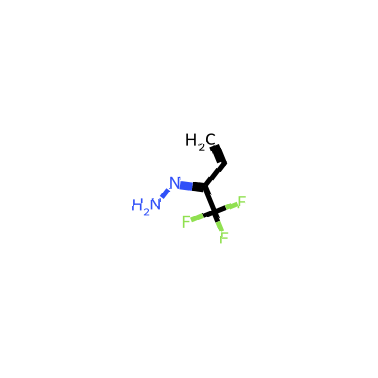 C=CC(=NN)C(F)(F)F